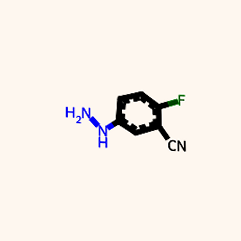 N#Cc1cc(NN)ccc1F